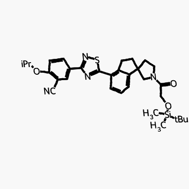 CC(C)Oc1ccc(-c2nsc(-c3cccc4c3CCC43CCN(C(=O)CO[Si](C)(C)C(C)(C)C)C3)n2)cc1C#N